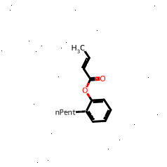 CC=CC(=O)Oc1ccccc1CCCCC